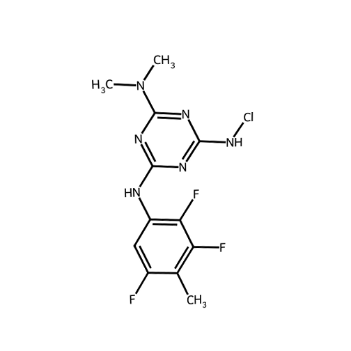 Cc1c(F)cc(Nc2nc(NCl)nc(N(C)C)n2)c(F)c1F